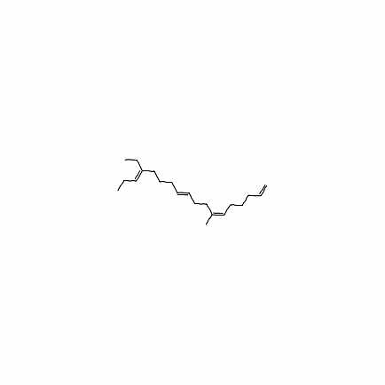 C=CCCCC=C(C)CCC=CCCCC(=CCC)CC